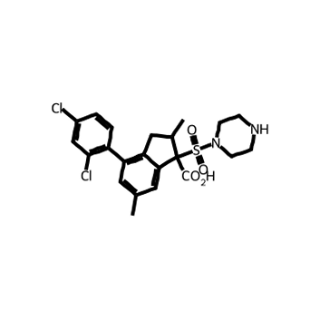 Cc1cc(-c2ccc(Cl)cc2Cl)c2c(c1)C(C(=O)O)(S(=O)(=O)N1CCNCC1)C(C)C2